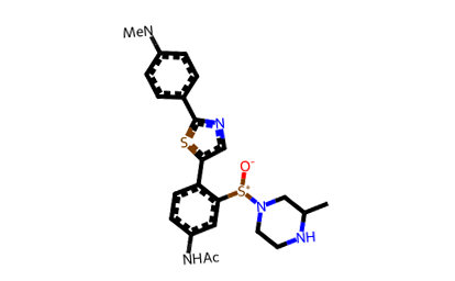 CNc1ccc(-c2ncc(-c3ccc(NC(C)=O)cc3[S+]([O-])N3CCNC(C)C3)s2)cc1